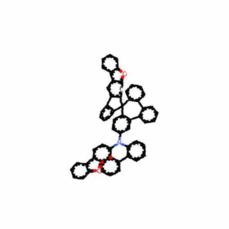 c1ccc(-c2ccccc2N(c2ccc3c(c2)-c2ccccc2-c2ccccc2C32c3ccccc3-c3cc4c(cc32)oc2ccccc24)c2ccc3c(c2)oc2ccccc23)cc1